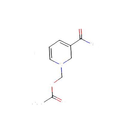 Br.CCCCCCCCCC(=O)OCN1C=CC=C(C(N)=O)C1